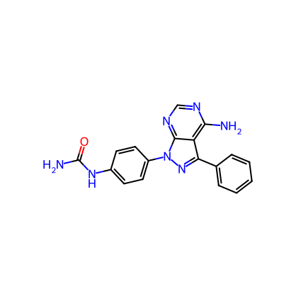 NC(=O)Nc1ccc(-n2nc(-c3ccccc3)c3c(N)ncnc32)cc1